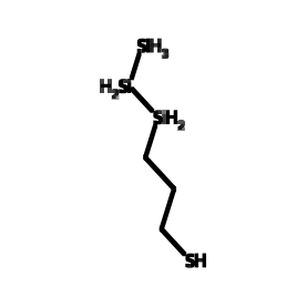 [SiH3][SiH2][SiH2]CCCS